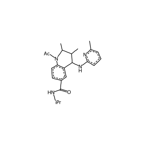 CC(=O)N1c2ccc(C(=O)NC(C)C)cc2C(Nc2cccc(C)n2)C(C)C1C